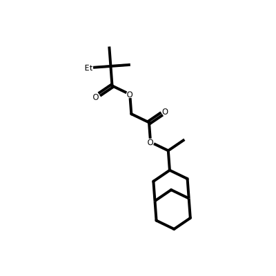 CCC(C)(C)C(=O)OCC(=O)OC(C)C1CC2CCCC(C2)C1